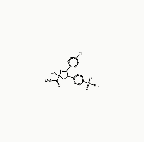 CNC(=O)C1(O)CN(c2ccc(S(N)(=O)=O)cc2)C(c2ccc(Cl)cc2)=N1